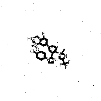 Cc1nc(C(F)(F)F)cn1-c1ccc(-c2cc(F)c(CO)c(S(C)(=O)=O)c2)cc1-c1nccn1-c1ccc(Cl)cc1